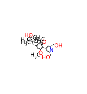 COc1cc(CC(C)(C)[Si](C)(C)O)cc(OC)c1-c1cc(CO)nc(CO)c1